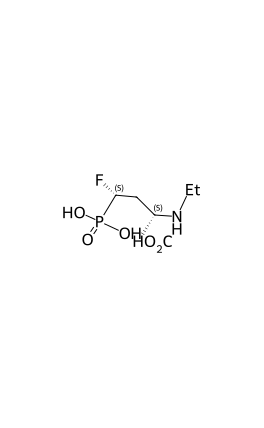 CCN[C@@H](C[C@@H](F)P(=O)(O)O)C(=O)O